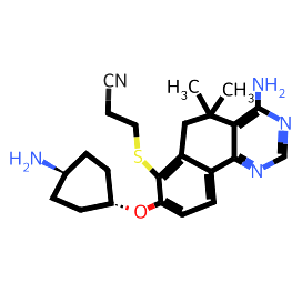 CC1(C)Cc2c(ccc(O[C@H]3CC[C@H](N)CC3)c2SCCC#N)-c2ncnc(N)c21